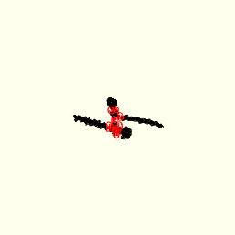 CCCCCCCCCCCCCCOCC1(COCC2(COCCCCCCCCCCCCCC)COC(c3ccccc3)OC2)COC(c2ccccc2)OC1